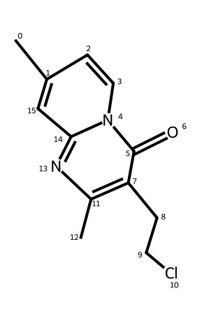 Cc1ccn2c(=O)c(CCCl)c(C)nc2c1